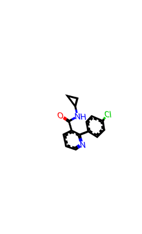 O=C(NC1CC1)c1cccnc1-c1ccc(Cl)cc1